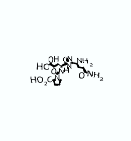 NC(=O)CC[C@H](N)c1noc([C@H](CCC(O)O)NC(=O)N2CCCC2C(=O)O)n1